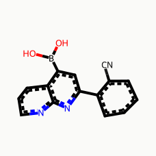 N#Cc1ccccc1-c1cc(B(O)O)c2cccnc2n1